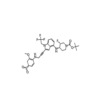 COC1=C(NCC#Cc2cc3c(N[C@@H]4CCN(C(=O)OC(C)(C)C)C[C@@H]4F)cccc3n2CC(F)(F)F)C=CC(=S(=O)=O)C1